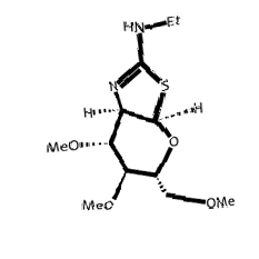 CCNC1=N[C@@H]2[C@@H](OC)[C@H](OC)[C@@H](COC)O[C@@H]2S1